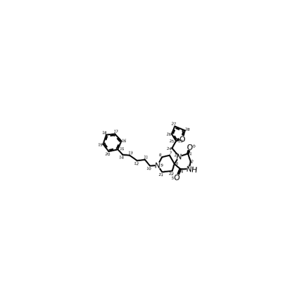 O=C1CNC(=O)C2(CCN(CCCCCc3ccccc3)CC2)N1Cc1ccco1